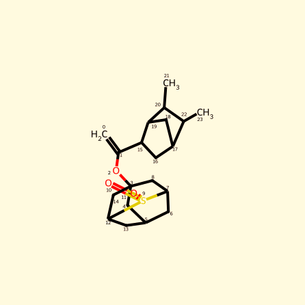 C=C(OC12CC3CC(C1)S(=O)(=O)C(C3)C2)C1CC2CC1C(C)C2C